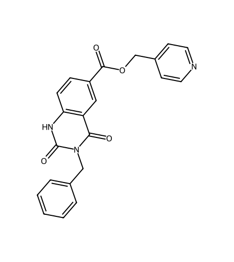 O=C(OCc1ccncc1)c1ccc2[nH]c(=O)n(Cc3ccccc3)c(=O)c2c1